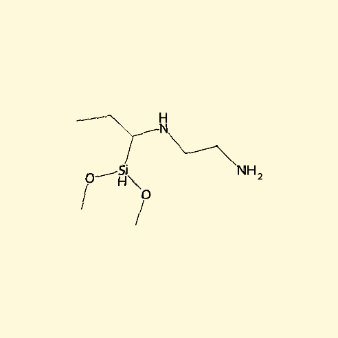 CCC(NCCN)[SiH](OC)OC